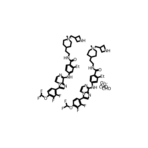 CCc1cc(Nc2nccn3c(-c4ccc(OC(F)F)c(F)c4F)cnc23)ccc1C(=O)NCCC1CC[N+](C)(CC2CNC2)CC1.CCc1cc(Nc2nccn3c(-c4ccc(OC(F)F)c(F)c4F)cnc23)ccc1C(=O)NCCC1CC[N+](C)(CC2CNC2)CC1.O=C[O-].O=C[O-]